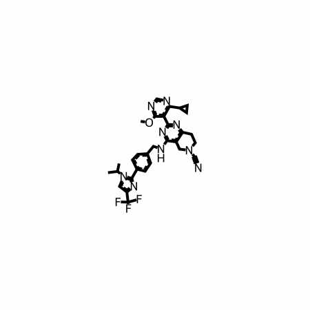 COc1ncnc(C2CC2)c1-c1nc2c(c(NCc3ccc(-c4nc(C(F)(F)F)cn4C(C)C)cc3)n1)CN(C#N)CC2